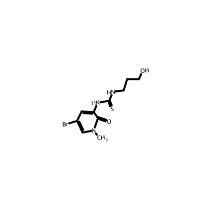 Cn1cc(Br)cc(NC(=S)NCCCO)c1=O